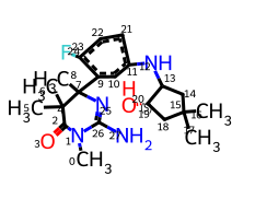 CN1C(=O)C(C)(C)C(C)(c2cc(NC3CC(C)(C)C[C@@H]3O)ccc2F)N=C1N